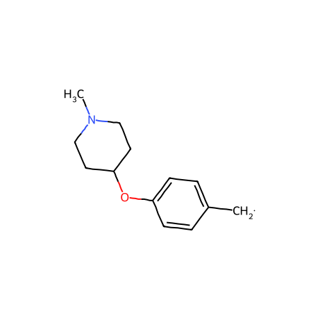 [CH2]c1ccc(OC2CCN(C)CC2)cc1